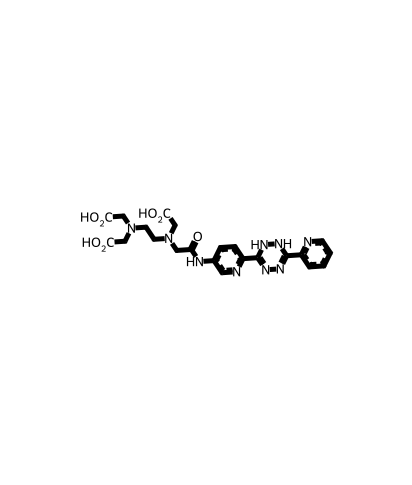 O=C(O)CN(CCN(CC(=O)O)CC(=O)Nc1ccc(C2=NN=C(c3ccccn3)NN2)nc1)CC(=O)O